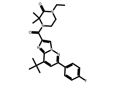 CCN1CCN(C(=O)c2cn3nc(-c4ccc(F)cc4)cc(C(C)(C)C)c3n2)C(C)(C)C1=O